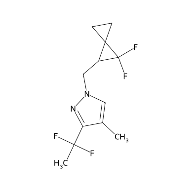 Cc1cn(CC2C(F)(F)C23CC3)nc1C(C)(F)F